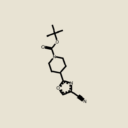 CC(C)(C)OC(=O)N1CCC(c2nc(C#N)co2)CC1